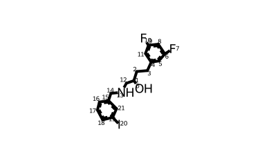 OC(CCc1cc(F)cc(F)c1)CNCc1cccc(I)c1